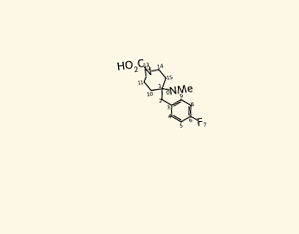 CNC1(Cc2ccc(F)cc2)CCN(C(=O)O)CC1